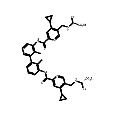 CCOC(=O)[C@@H](NCc1cnc(C(=O)Nc2cccc(-c3cccc(NC(=O)c4cc(C5CC5)c(CN[C@H](C(=O)OCC)C(C)C)cn4)c3C)c2C)cc1C1CC1)C(C)C